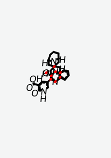 O=C(O)c1cc(-c2nc3ccccc3n([C@H]3C[C@H]4CCC[C@@H](C3)N4[C@H]3C[C@@H]4CCC[C@@H](C4)C3)c2=O)c[nH]c1=O